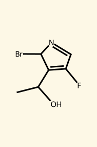 CC(O)C1=C(F)C=NC1Br